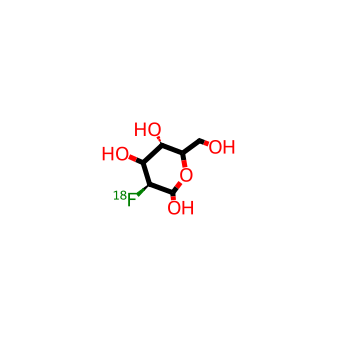 OCC1OC(O)[C@@H]([18F])C(O)[C@@H]1O